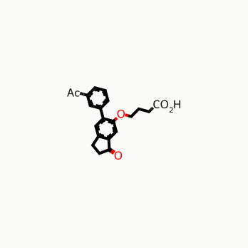 CC(=O)c1cccc(-c2cc3c(cc2OCCCC(=O)O)C(=O)CC3)c1